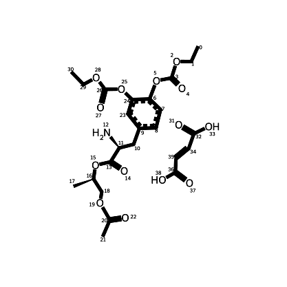 CCOC(=O)Oc1ccc(C[C@H](N)C(=O)O[C@H](C)COC(C)=O)cc1OC(=O)OCC.O=C(O)/C=C/C(=O)O